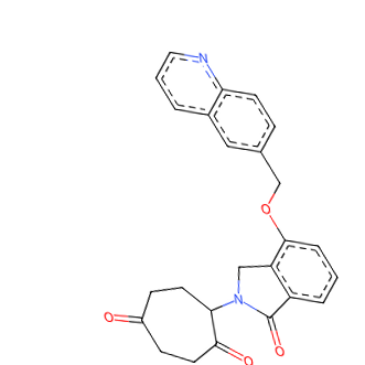 O=C1CCC(=O)C(N2Cc3c(OCc4ccc5ncccc5c4)cccc3C2=O)CC1